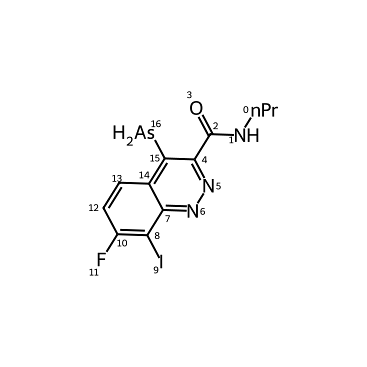 CCCNC(=O)c1nnc2c(I)c(F)ccc2c1[AsH2]